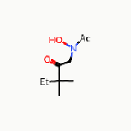 CCC(C)(C)C(=O)CN(O)C(C)=O